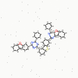 c1ccc(-c2nc(-c3ccc4c(c3)oc3ccccc34)nc(-c3cccc4sc5cc(-c6nc(-c7ccccc7)c7oc8ccccc8c7n6)ccc5c34)n2)cc1